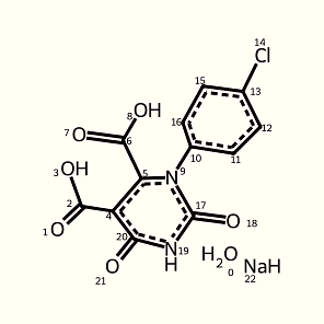 O.O=C(O)c1c(C(=O)O)n(-c2ccc(Cl)cc2)c(=O)[nH]c1=O.[NaH]